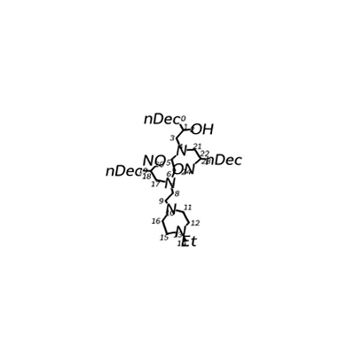 CCCCCCCCCCC(O)CN(CCN(CCN1CCN(CC)CC1)CC(CCCCCCCCCC)N=O)CC(CCCCCCCCCC)N=O